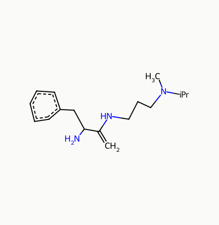 C=C(NCCCN(C)C(C)C)C(N)Cc1ccccc1